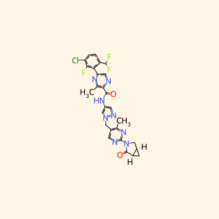 Cc1nc(N2C[C@H]3C[C@H]3C2=O)ncc1Cn1cc(NC(=O)c2ncc(-c3c(C(F)F)ccc(Cl)c3F)nc2C)cn1